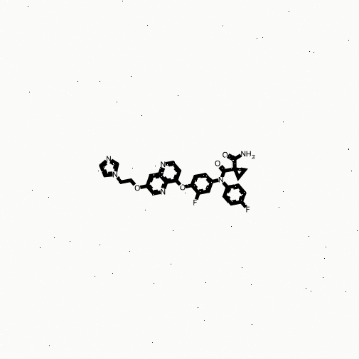 NC(=O)C1(C(=O)N(c2ccc(F)cc2)c2ccc(Oc3ccnc4cc(OCCn5ccnc5)cnc34)c(F)c2)CC1